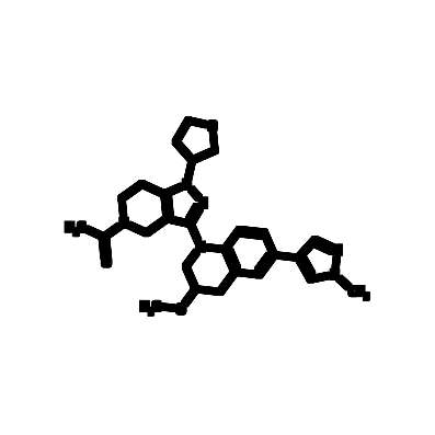 COC1Cc2cc(-c3cnn(C)c3)ccc2N(c2nn(C3CCOC3)c3c2CN(C(C)=O)CC3)C1